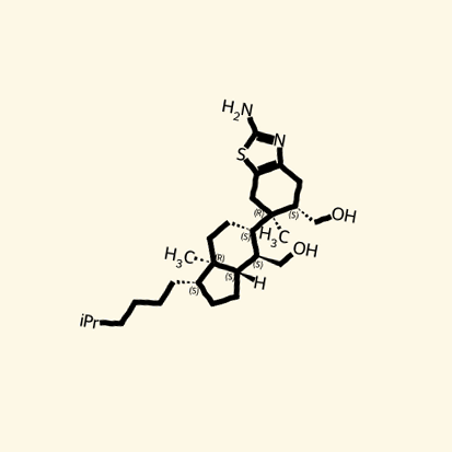 CC(C)CCCC[C@H]1CC[C@H]2[C@H](CO)[C@@H]([C@@]3(C)Cc4sc(N)nc4C[C@@H]3CO)CC[C@]12C